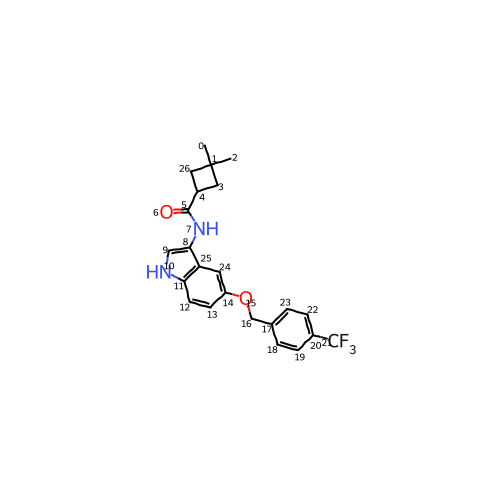 CC1(C)CC(C(=O)Nc2c[nH]c3ccc(OCc4ccc(C(F)(F)F)cc4)cc23)C1